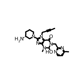 CC#CCn1c(N2CCC[C@@H](N)C2)nc2c1C(=O)N(Cc1nccc(C)n1)C(O)N2C